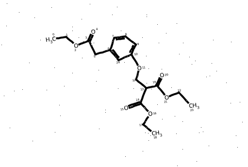 CCOC(=O)Cc1cccc(OCC(C(=O)OCC)C(=O)OCC)c1